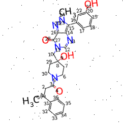 C[C@H](CC(=O)N1CCC(O)(Cn2cnc3c(-c4cccc(O)c4)n(C)nc3c2=O)CC1)c1ccccc1